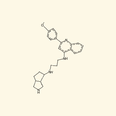 COc1ccc(-c2cc(NCCCNC3CCC4CNCC43)c3ccccc3n2)cc1